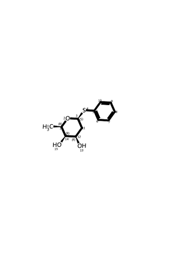 C[C@H]1O[C@@H](Sc2ccccc2)C[C@@H](O)[C@H]1O